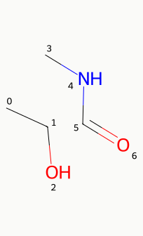 CCO.CNC=O